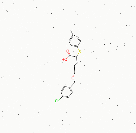 Cc1ccc(SC(CCCOCc2ccc(Cl)cc2)C(=O)O)cc1